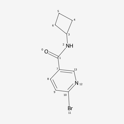 O=C(NC1CCC1)c1ccc(Br)nc1